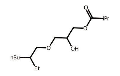 CCCCC(CC)COCC(O)COC(=O)C(C)C